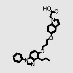 CCCc1c(OCCCOc2ccc3c(ccn3CC(=O)O)c2)ccc2c1ncn2-c1ccccc1